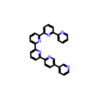 c1ccc(-c2cccc(-c3cccc(-c4cccc(-c5ccc(-c6cccnc6)cn5)n4)n3)n2)nc1